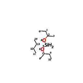 CCC(C)O[SiH2]OC(C)CC.CCCC